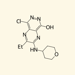 CCc1nc2c(Cl)nnc(O)c2nc1NC1CCOCC1